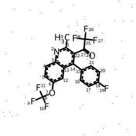 Cc1nc2ccc(OC(F)(F)F)cc2c(-c2ccc(F)cc2)c1C(=O)C(F)(F)F